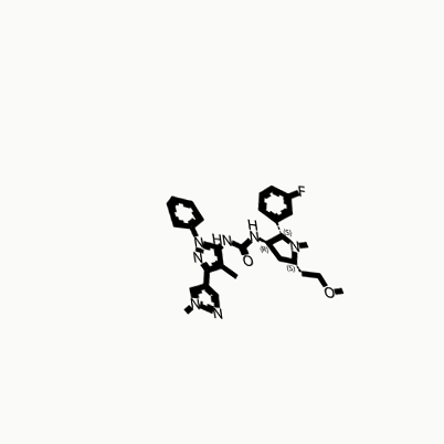 COCC[C@@H]1C[C@@H](NC(=O)Nc2c(C)c(-c3cnn(C)c3)nn2-c2ccccc2)[C@H](c2cccc(F)c2)N1C